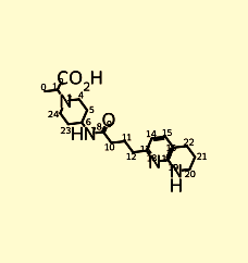 CC(C(=O)O)N1CCC(NC(=O)CCCc2ccc3c(n2)NCCC3)CC1